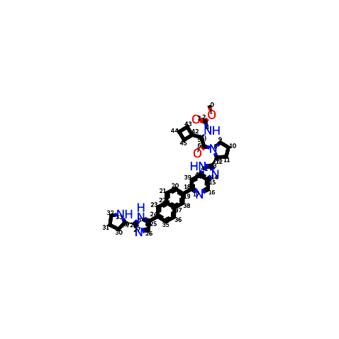 COC(=O)N[C@H](C(=O)N1CCC[C@H]1c1nc2cnc(-c3ccc4cc(-c5cnc([C@@H]6CCCN6)[nH]5)ccc4c3)cc2[nH]1)C1CCC1